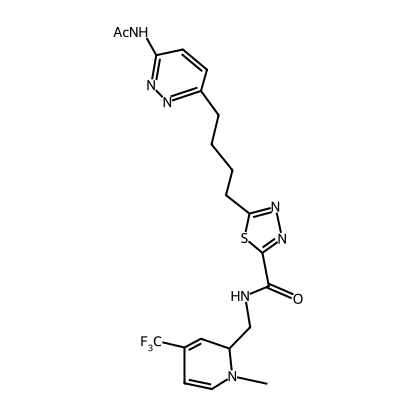 CC(=O)Nc1ccc(CCCCc2nnc(C(=O)NCC3C=C(C(F)(F)F)C=CN3C)s2)nn1